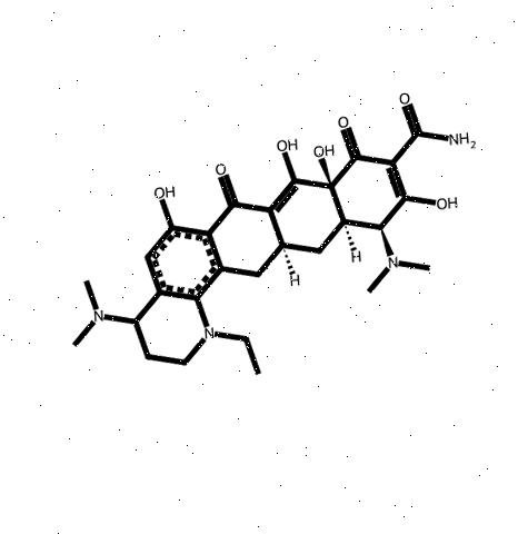 CCN1CCC(N(C)C)c2cc(O)c3c(c21)C[C@@H]1C[C@@H]2[C@H](N(C)C)C(O)=C(C(N)=O)C(=O)[C@@]2(O)C(O)=C1C3=O